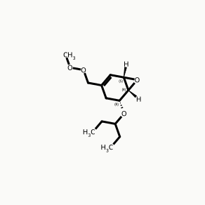 CCC(CC)O[C@@H]1CC(COOC)=C[C@@H]2O[C@@H]21